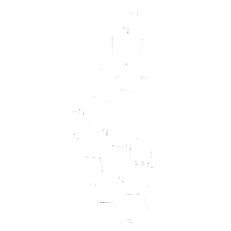 Cc1cc(Nc2ncc3c(n2)N2CCN=C2N(c2c(Cl)cccc2Cl)C3=O)ccc1C1(O)CCN(C)CC1